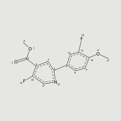 COC(=O)c1cc(-c2ccc(OC)c(F)c2)ncc1F